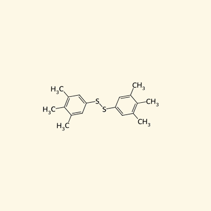 Cc1cc(SSc2cc(C)c(C)c(C)c2)cc(C)c1C